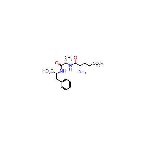 C[C@H](NC(=O)[C@@H](N)CCC(=O)O)C(=O)N[C@@H](Cc1ccccc1)C(=O)O